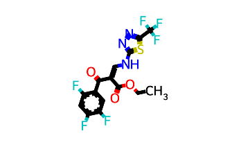 CCOC(=O)/C(=C\Nc1nnc(C(F)(F)F)s1)C(=O)c1cc(F)c(F)cc1F